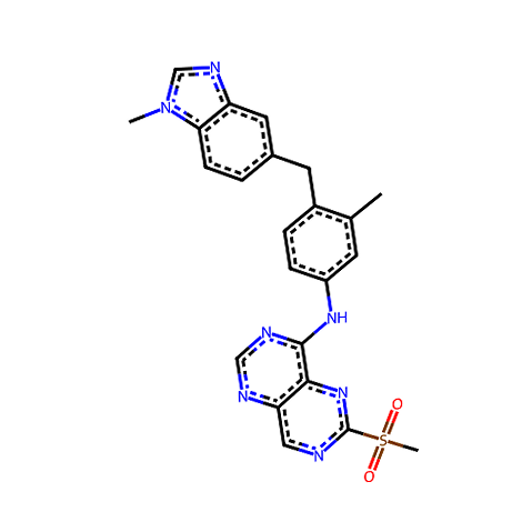 Cc1cc(Nc2ncnc3cnc(S(C)(=O)=O)nc23)ccc1Cc1ccc2c(c1)ncn2C